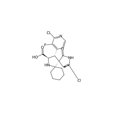 O=C(O)[C@@H]1NC2(CCCCC2)[C@@]2(C(=O)Nc3cc(Cl)ccc32)[C@H]1c1ccnc(Cl)c1F